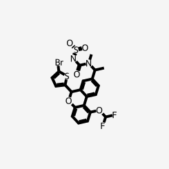 CC(c1ccc2c(c1)C(c1ccc(Br)s1)Oc1cccc(OC(F)F)c1-2)N(C)C(=O)N=S(=O)=O